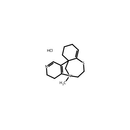 C[N+]12CCSC3=CCCCC3(C1)C1=C2CCN=C1.Cl